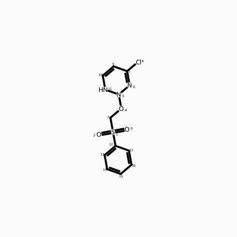 O=S(=O)(CON1N=C(Cl)C=[C]N1)c1ccccc1